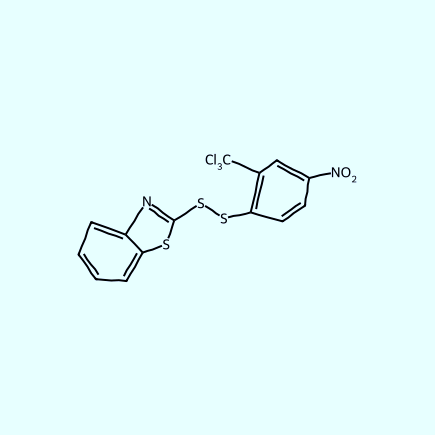 O=[N+]([O-])c1ccc(SSc2nc3ccccc3s2)c(C(Cl)(Cl)Cl)c1